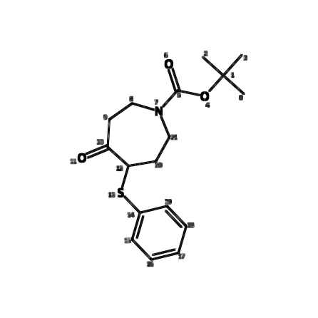 CC(C)(C)OC(=O)N1CCC(=O)C(Sc2ccccc2)CC1